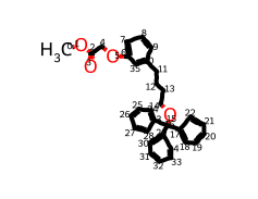 COC(=O)COc1cccc(CCCCOC(c2ccccc2)(c2ccccc2)c2ccccc2)c1